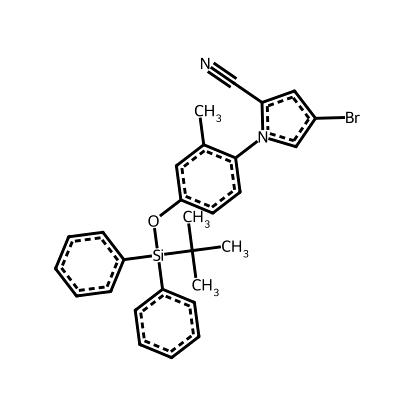 Cc1cc(O[Si](c2ccccc2)(c2ccccc2)C(C)(C)C)ccc1-n1cc(Br)cc1C#N